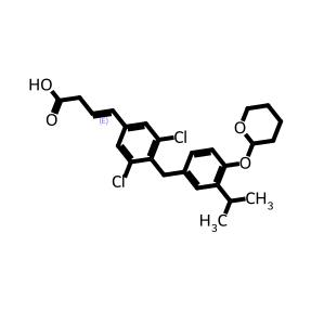 CC(C)c1cc(Cc2c(Cl)cc(/C=C/CC(=O)O)cc2Cl)ccc1OC1CCCCO1